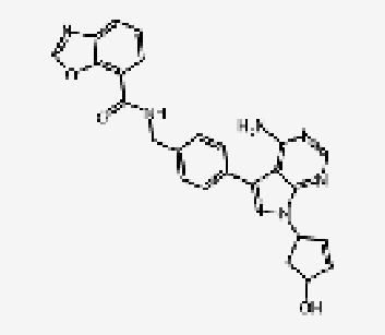 Nc1ncnc2c1c(-c1ccc(CNC(=O)c3cccc4ncoc34)cc1)nn2C1C=CC(O)C1